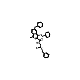 Cc1nc(C(=O)NCC(=O)OCc2ccccc2)c(OCc2ccccc2)c2cc(Oc3ccccc3)ccc12